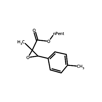 CCCCCOC(=O)C1(C)OC1c1ccc(C)cc1